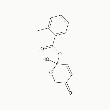 Cc1ccccc1C(=O)OC1(O)C=CC(=O)CO1